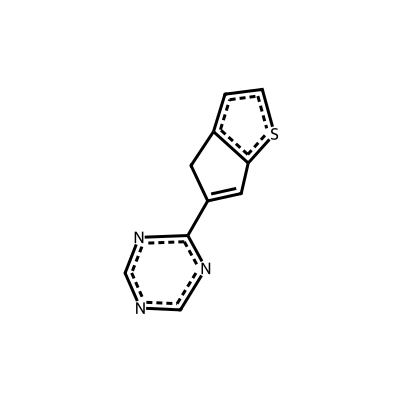 C1=C(c2ncncn2)Cc2ccsc21